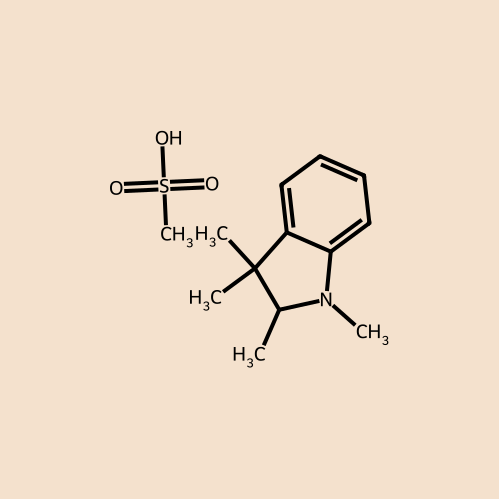 CC1N(C)c2ccccc2C1(C)C.CS(=O)(=O)O